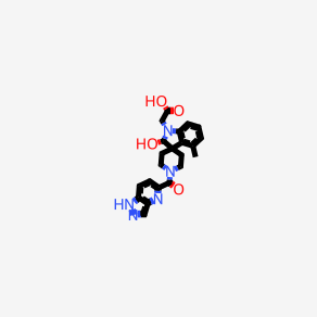 Cc1cccc2c1C1(CCN(C(=O)c3ccc4[nH]ncc4n3)CC1)C(O)N2CC(=O)O